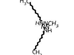 CCCCCCCCCCCCNc1nc(C)nc(NCCCCCCCCCCCC)n1